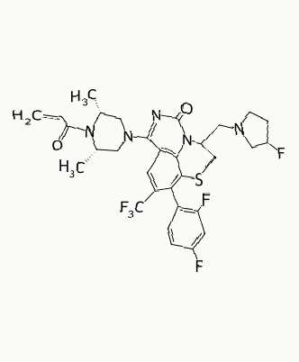 C=CC(=O)N1[C@H](C)CN(c2nc(=O)n3c4c(c(-c5ccc(F)cc5F)c(C(F)(F)F)cc24)SCC3CN2CCC(F)C2)C[C@@H]1C